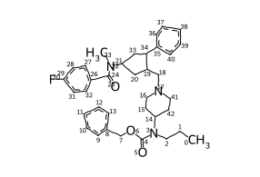 CCCN(C(=O)OCc1ccccc1)C1CCN(CC2CC(N(C)C(=O)c3ccc(F)cc3)CC2c2ccccc2)CC1